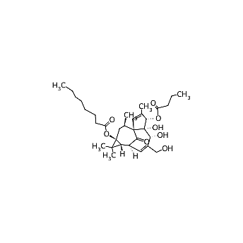 CCCCCCCC(=O)O[C@@]12C[C@@H](C)[C@]34C=C(C)[C@H](OC(=O)CCC)[C@@]3(O)[C@H](O)C(CO)=C[C@H](C4=O)[C@@H]1C2(C)C